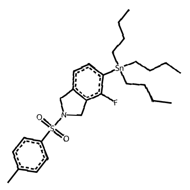 CCC[CH2][Sn]([CH2]CCC)([CH2]CCC)[c]1ccc2c(c1F)CN(S(=O)(=O)c1ccc(C)cc1)C2